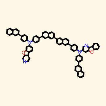 c1ccc2cc(-c3ccc(N(c4ccc(-c5ccc6ccc(-c7ccc8cc(-c9ccc(N(c%10ccc(-c%11ccc%12ccccc%12c%11)cc%10)c%10cnc%11c(c%10)oc%10ccccc%10%11)cc9)ccc8c7)cc6c5)cc4)c4ccc5c(c4)oc4cnccc45)cc3)ccc2c1